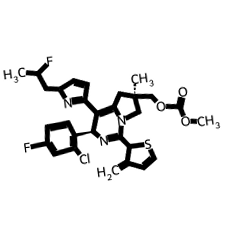 C=C1C=CSC1C1=N[C@@H](c2ccc(F)cc2Cl)C(C2=NC(CC(C)F)C=C2)=C2C[C@@](C)(COC(=O)OC)CN12